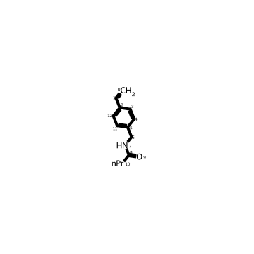 C=Cc1ccc(CNC(=O)CCC)cc1